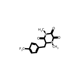 CN1C(=O)C(=O)N(C)C(Cc2ccc(C(F)(F)F)cc2)C1=O